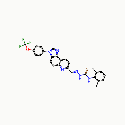 Cc1cccc(C)c1NC(=S)N/N=C/c1ccc2c(ccc3c2ncn3-c2ccc(OC(F)(F)F)cc2)n1